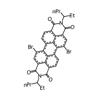 CCCC(CC)N1C(=O)c2ccc3c4c(Br)cc5c6c(ccc(c7c(Br)cc(c2c37)C1=O)c64)C(=O)N(C(CC)CCC)C5=O